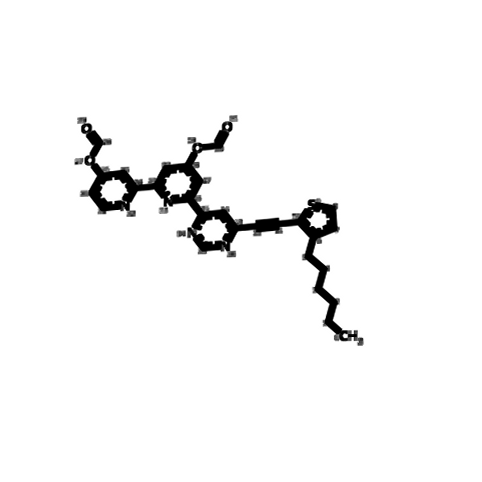 CCCCCCc1ccsc1C#Cc1cc(-c2cc(OC=O)cc(-c3cc(OC=O)ccn3)n2)ncn1